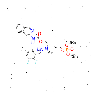 CC(=O)N(NCc1cccc(F)c1F)C(CCCOP(=O)(OC(C)(C)C)OC(C)(C)C)COC(=O)Nc1cc2ccccc2cn1